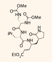 CCOC(=O)/C=C/[C@H](C[C@@H]1CCNC1=O)NC(=O)[C@H](CC(C)C)NC(=O)[C@H](CNC(=O)OC)NC(=O)OC